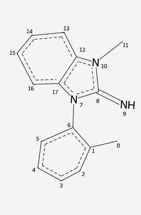 Cc1ccccc1-n1c(=N)n(C)c2ccccc21